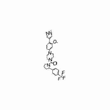 COc1cc(N2CCN(C(=O)N3CCCC3c3ccc(C(F)(F)F)cc3)CC2)ccc1-c1cnn(C)c1